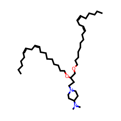 CCCCC/C=C\C/C=C\CCCCCCCCOCC(CCN1CCC(N(C)C)CC1)OCCCCCCCC/C=C\C/C=C\CCCCC